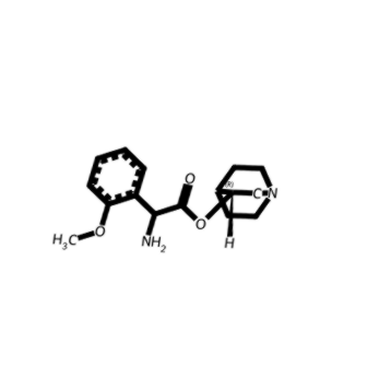 COc1ccccc1C(N)C(=O)O[C@H]1CN2CCC1CC2